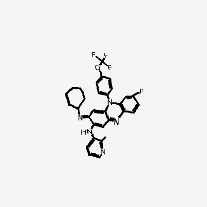 Cc1ncccc1Nc1cc2nc3ccc(F)cc3n(-c3ccc(OC(F)(F)F)cc3)c-2c/c1=N\C1CCCCC1